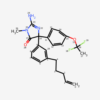 C=CCCCc1cccc(C2(c3ccc(OC(C)(F)F)cc3)N=C(N)N(C)C2=O)c1